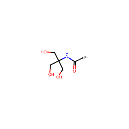 CCCC(=O)NC(CO)(CO)CO